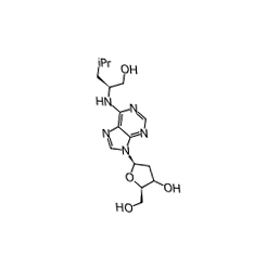 CC(C)C[C@@H](CO)Nc1ncnc2c1ncn2[C@H]1CC(O)[C@@H](CO)O1